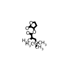 C=C(C[Si](C)(C)C)C(=O)OC1CCOC1=O